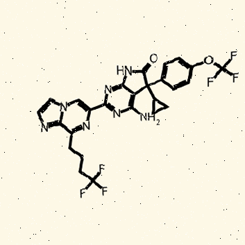 Nc1nc(-c2cn3ccnc3c(CCCC(F)(F)F)n2)nc2c1C(c1ccc(OC(F)(F)F)cc1)(C1CC1)C(=O)N2